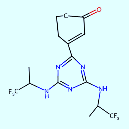 CC(Nc1nc(NC(C)C(F)(F)F)nc(C2=CC(=O)CCC2)n1)C(F)(F)F